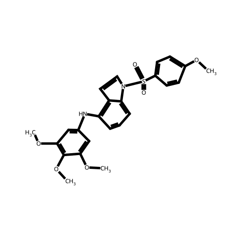 COc1ccc(S(=O)(=O)n2ccc3c(Nc4cc(OC)c(OC)c(OC)c4)cccc32)cc1